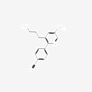 N#Cc1ccc(-c2ncc(N)cc2CCCO)cc1